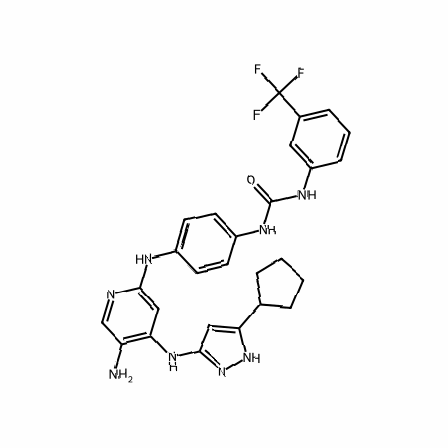 Nc1cnc(Nc2ccc(NC(=O)Nc3cccc(C(F)(F)F)c3)cc2)cc1Nc1cc(C2CCCC2)[nH]n1